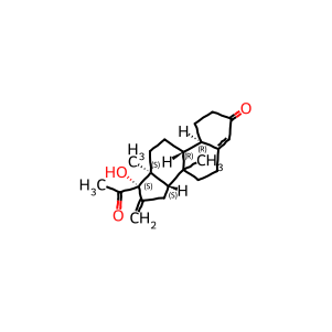 C=C1C[C@H]2C3(C)CCC4=CC(=O)CC[C@@H]4[C@H]3CC[C@]2(C)[C@]1(O)C(C)=O